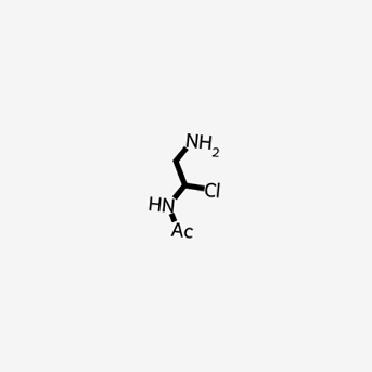 CC(=O)NC(Cl)CN